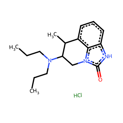 CCCN(CCC)C1Cn2c(=O)[nH]c3cccc(c32)C1C.Cl